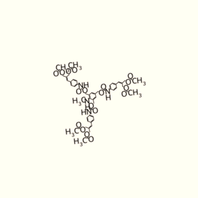 CNc1c(COC(=O)Nc2ccc(C=C(COC(C)=O)COC(C)=O)cc2)cc(COC(=O)Nc2ccc(C=C(COC(C)=O)COC(C)=O)cc2)cc1COC(=O)Nc1ccc(C=C(COC(C)=O)COC(C)=O)cc1